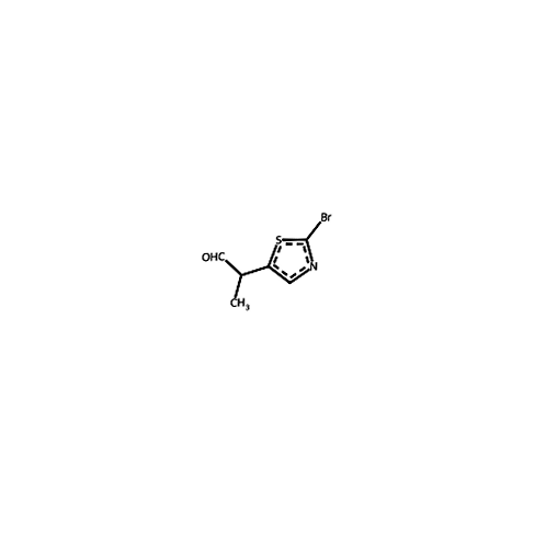 CC(C=O)c1cnc(Br)s1